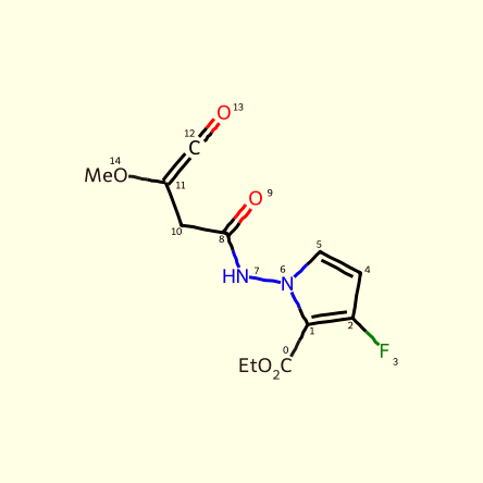 CCOC(=O)c1c(F)ccn1NC(=O)CC(=C=O)OC